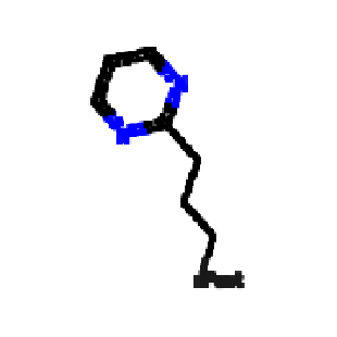 [CH2]CCCCCCCc1ncccn1